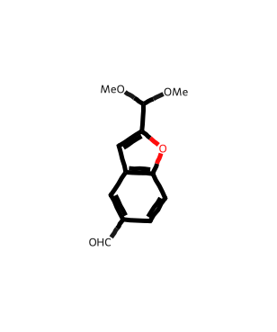 COC(OC)c1cc2cc(C=O)ccc2o1